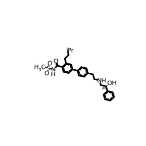 CC(C)CCc1cc(-c2ccc(CCNC[C@H](O)c3ccccc3)cc2)ccc1C(=O)NS(C)(=O)=O